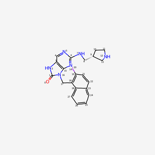 O=c1[nH]c2cnc(NC[C@@H]3CCNC3)nc2n1Cc1c(I)ccc2ccccc12